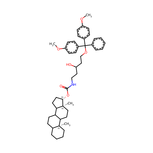 COc1ccc(C(OCCC(O)CCNC(=O)O[C@H]2CCC3C4CCC5CCCC[C@]5(C)C4CC[C@@]32C)(c2ccccc2)c2ccc(OC)cc2)cc1